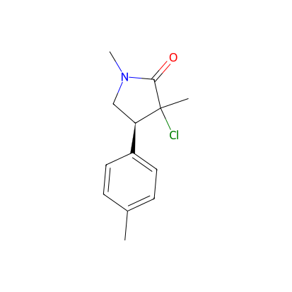 Cc1ccc([C@H]2CN(C)C(=O)C2(C)Cl)cc1